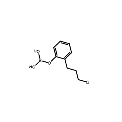 OB(O)Oc1ccccc1CCCCl